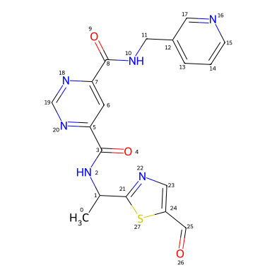 CC(NC(=O)c1cc(C(=O)NCc2cccnc2)ncn1)c1ncc(C=O)s1